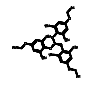 CC(=O)COc1cc(C(C)(C)C)c(OP(Oc2c(C(C)(C)C)cc(OCC(C)=O)cc2C(C)(C)C)Oc2c(C(C)(C)C)cc(OCC(C)=O)cc2C(C)(C)C)c(C(C)(C)C)c1